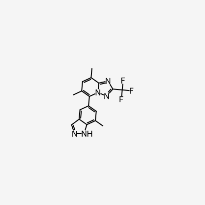 Cc1cc(C)c2nc(C(F)(F)F)nn2c1-c1cc(C)c2[nH]ncc2c1